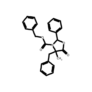 CC1(Cc2ccccc2)C(=O)OC(c2ccccc2)N1C(=O)OCc1ccccc1